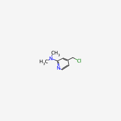 CN(C)c1cc(CCl)ccn1